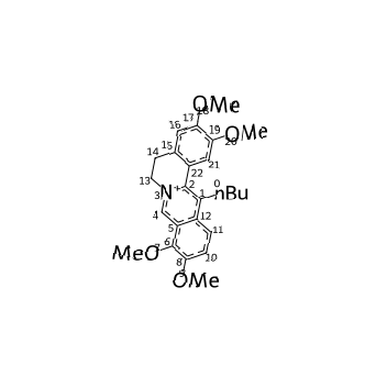 CCCCc1c2[n+](cc3c(OC)c(OC)ccc13)CCc1cc(OC)c(OC)cc1-2